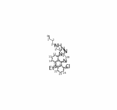 C=CCCNCc1nnc2n1-c1cccc(SCC)c1C(c1ccccc1Cl)=NC2